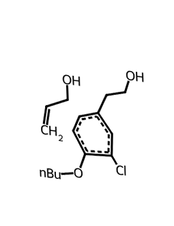 C=CCO.CCCCOc1ccc(CCO)cc1Cl